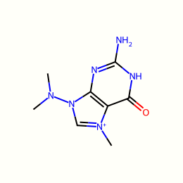 CN(C)n1c[n+](C)c2c(=O)[nH]c(N)nc21